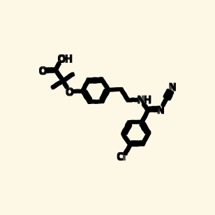 CC(C)(Oc1ccc(CCN/C(=N\C#N)c2ccc(Cl)cc2)cc1)C(=O)O